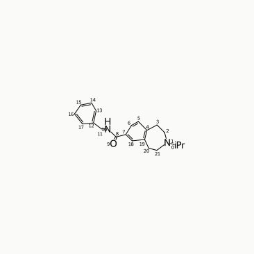 CC(C)N1CCc2ccc(C(=O)NCc3ccccc3)cc2CC1